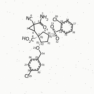 N#CC1(C(N)=O)CC1[C@@]1(C(=O)O)C[C@H](S(=O)(=O)c2ccccc2Cl)C[C@@H]1OCc1ccc(Cl)cc1